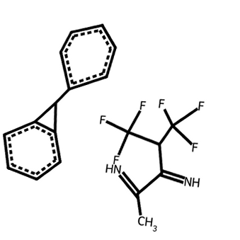 CC(=N)C(=N)C(C(F)(F)F)C(F)(F)F.c1ccc(C2c3ccccc32)cc1